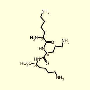 NCCCC[C@H](NC(=O)[C@H](CCCN)NC(=O)[C@@H](N)CCCCN)C(=O)O